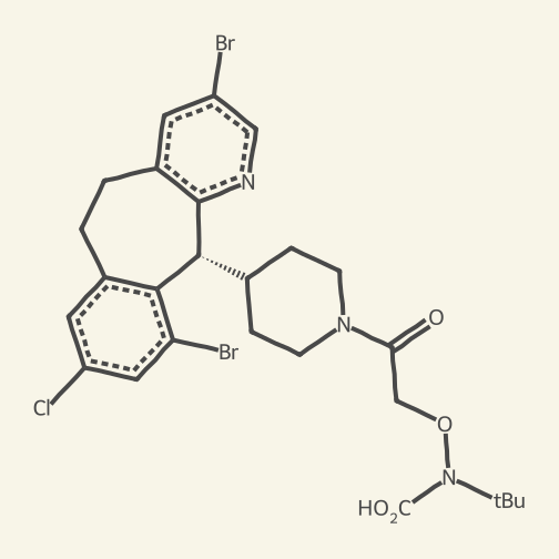 CC(C)(C)N(OCC(=O)N1CCC([C@H]2c3ncc(Br)cc3CCc3cc(Cl)cc(Br)c32)CC1)C(=O)O